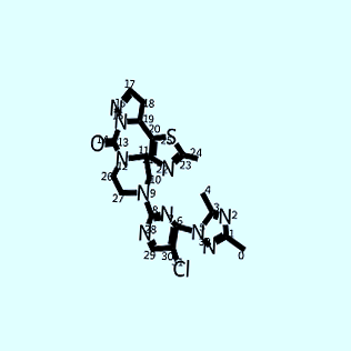 Cc1nc(C)n(-c2nc(N3CCN(C(=O)N4N=CCC4c4cnc(C)s4)CC3)ncc2Cl)n1